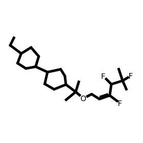 CCC1CCC(C2CCC(C(C)(C)OC/C=C(/F)C(F)C(C)(C)F)CC2)CC1